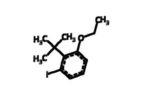 CCOc1cccc(I)c1C(C)(C)C